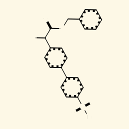 CCS(=O)(=O)c1ccc(-c2ccc(C(O)C(=O)OCc3ccccc3)cc2)cc1